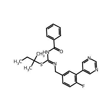 CCC(C)(C)S/C(=N\Cc1ccc(F)c(-c2cncnc2)c1)NC(=O)c1ccccc1